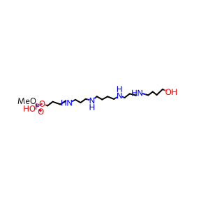 COP(=O)(O)OCCCCNCCCNCCCCNCCCNCCCCO